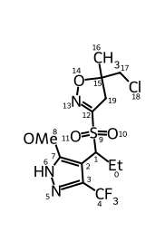 CCC(c1c(C(F)(F)F)n[nH]c1OC)S(=O)(=O)C1=NOC(C)(CCl)C1